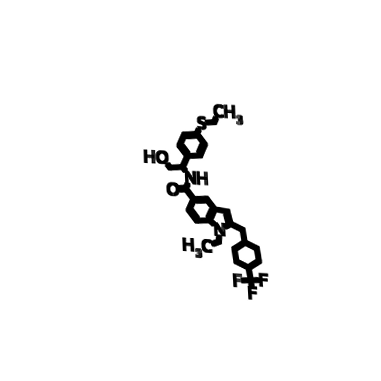 CCSc1ccc(C(CO)NC(=O)c2ccc3c(c2)cc(CC2CCC(C(F)(F)F)CC2)n3CC)cc1